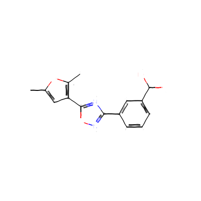 Cc1cc(-c2nc(-c3cccc(C(O)O)c3)no2)c(C)o1